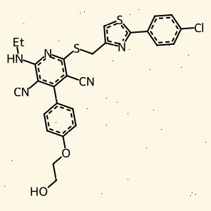 [C-]#[N+]c1c(NCC)nc(SCc2csc(-c3ccc(Cl)cc3)n2)c(C#N)c1-c1ccc(OCCO)cc1